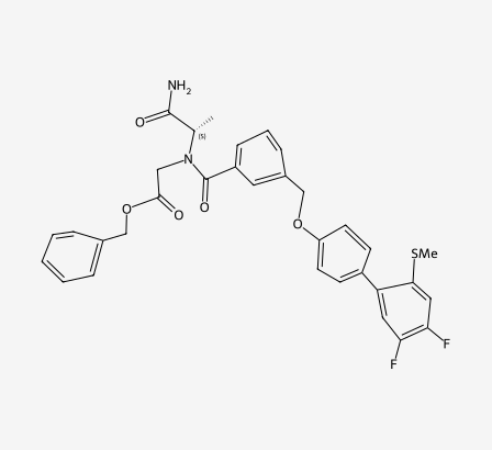 CSc1cc(F)c(F)cc1-c1ccc(OCc2cccc(C(=O)N(CC(=O)OCc3ccccc3)[C@@H](C)C(N)=O)c2)cc1